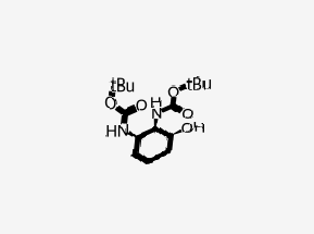 CC(C)(C)OC(=O)N[C@H]1[C@@H](O)CCC[C@H]1NC(=O)OC(C)(C)C